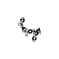 Cc1cnc2cc(N3CCOCC3)nc(O[C@H]3CC[C@@H](Nc4ncc(OCC(=O)N5CCOCC5)cn4)CC3)c2c1